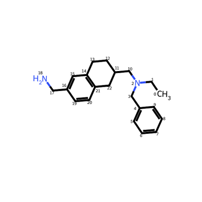 CCN(Cc1ccccc1)CC1CCc2cc(CN)ccc2C1